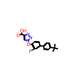 CC(C)(C)c1ccc(-c2ccc(On3cc(C(=O)O)nn3)c(F)c2)cc1